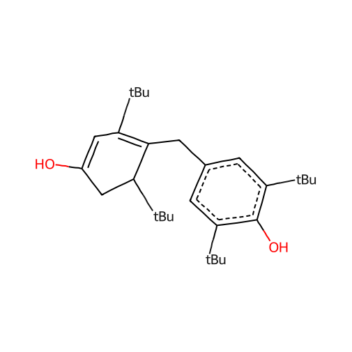 CC(C)(C)C1=C(Cc2cc(C(C)(C)C)c(O)c(C(C)(C)C)c2)C(C(C)(C)C)CC(O)=C1